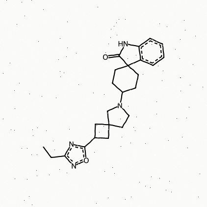 CCc1noc(C2CC3(CCN(C4CCC5(CC4)C(=O)Nc4ccccc45)C3)C2)n1